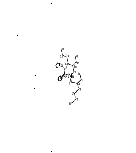 CCCCC(CC)CN(CC(CC)CCCC)C(=O)CCl